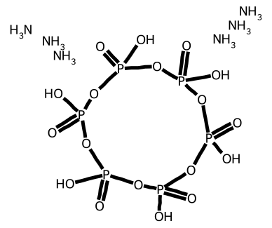 N.N.N.N.N.N.O=P1(O)OP(=O)(O)OP(=O)(O)OP(=O)(O)OP(=O)(O)OP(=O)(O)O1